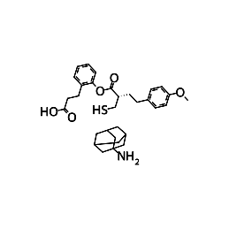 COc1ccc(CC[C@H](CS)C(=O)Oc2ccccc2CCC(=O)O)cc1.NC12CC3CC(CC(C3)C1)C2